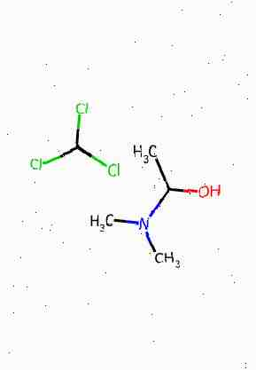 CC(O)N(C)C.ClC(Cl)Cl